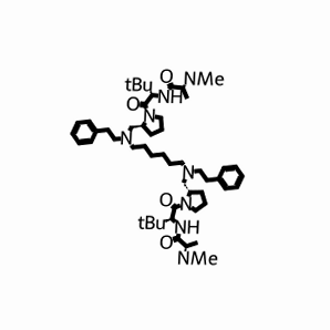 CN[C@@H](C)C(=O)N[C@H](C(=O)N1CCC[C@H]1CN(CCCCCCN(CCc1ccccc1)C[C@@H]1CCCN1C(=O)[C@@H](NC(=O)[C@H](C)NC)C(C)(C)C)CCc1ccccc1)C(C)(C)C